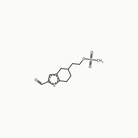 CS(=O)(=O)OCCC1CCc2sc(C=O)cc2C1